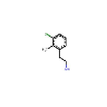 Cc1c(Cl)cccc1CC[NH]